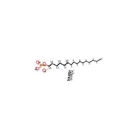 CCCCCCCCCCCCCCCCOP(=O)([O-])[O-].[Na+].[Na+].[Zn].[Zn]